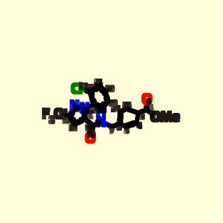 COC(=O)C1C=CC(CNC(=O)c2cc(C(F)(F)F)nn2-c2ccccc2Cl)=CC1